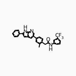 Cc1cc(-c2cnc3[nH]c(-c4ccccc4)cc3c2)ccc1CC(=O)Nc1cccc(C(F)(F)F)c1